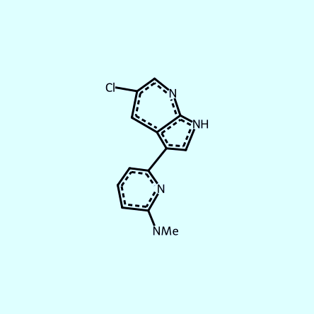 CNc1cccc(-c2c[nH]c3ncc(Cl)cc23)n1